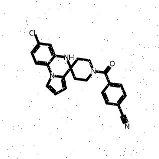 N#Cc1ccc(C(=O)N2CCC3(CC2)Nc2cc(Cl)ccc2-n2cccc23)cc1